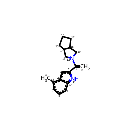 C=C(c1cc2c(C)cccc2[nH]1)N1CC2CCCC2C1